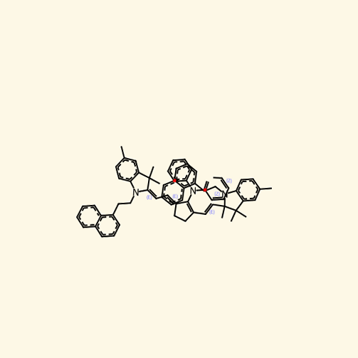 C=C(/C=C\C=C/C)N(C1=C(/C=C/C2(C)N(CCc3cccc4ccccc34)c3ccc(C)cc3C2(C)C)CC/C1=C\C=C1\N(CCc2cccc3ccccc23)c2ccc(C)cc2C1(C)C)c1ccccc1